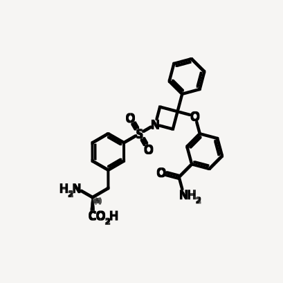 NC(=O)c1cccc(OC2(c3ccccc3)CN(S(=O)(=O)c3cccc(C[C@H](N)C(=O)O)c3)C2)c1